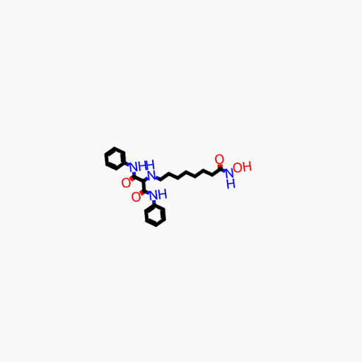 O=C(CCCCCCCNC(C(=O)Nc1ccccc1)C(=O)Nc1ccccc1)NO